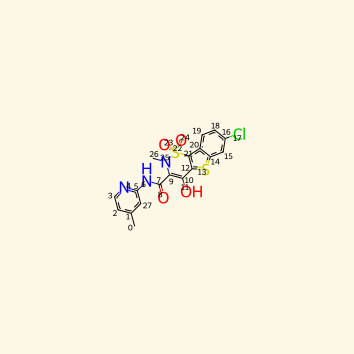 Cc1ccnc(NC(=O)C2=C(O)c3sc4cc(Cl)ccc4c3S(=O)(=O)N2C)c1